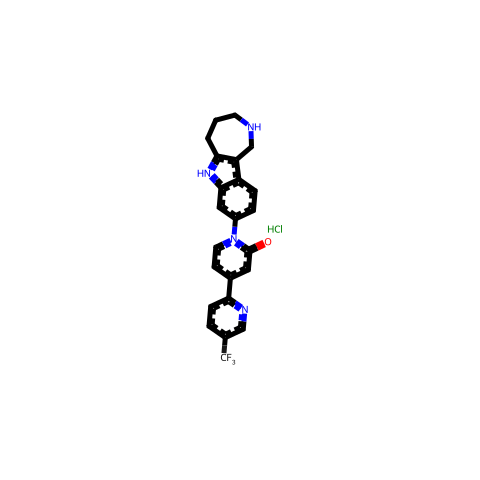 Cl.O=c1cc(-c2ccc(C(F)(F)F)cn2)ccn1-c1ccc2c3c([nH]c2c1)CCCNC3